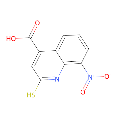 O=C(O)c1cc(S)nc2c([N+](=O)[O-])cccc12